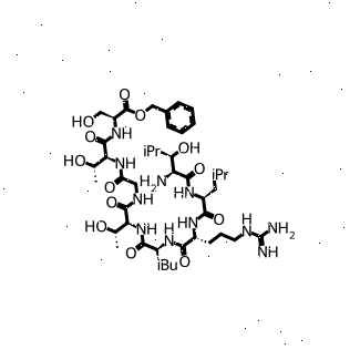 CC[C@H](C)[C@H](NC(=O)[C@@H](CCCNC(=N)N)NC(=O)[C@H](CC(C)C)NC(=O)[C@@H](N)[C@H](O)C(C)C)C(=O)N[C@H](C(=O)NCC(=O)N[C@H](C(=O)N[C@@H](CO)C(=O)OCc1ccccc1)[C@H](C)O)[C@H](C)O